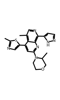 Cc1ncc(-c2cc(N3CCOCC3C)nc3c(-c4ccn[nH]4)ncc(C)c23)s1